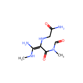 CN/C(N)=C(/NCC(N)=O)C(=O)N(C)C=O